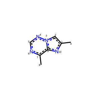 Cc1cn2ncnc(C)c2n1